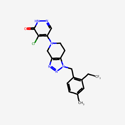 Cc1ccc(Cn2nnc3c2CCN(c2cn[nH]c(=O)c2Cl)C3)c(CC(F)(F)F)c1